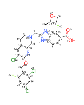 O=C(O)c1ccc2nc(CN3CCc4cc(Cl)c(OCc5c(F)cc(Cl)cc5Cl)nc4C3)n(C[C@@H]3CCO3)c2c1F